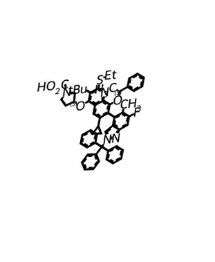 CCSc1nc2c(O[C@@H](C)c3ccccc3)c(-c3c(C)c(F)cc4nn(C(c5ccccc5)(c5ccccc5)c5ccccc5)cc34)c(C3CC3)cc2c(O[C@H]2CCN(C(=O)O)C2)c1C(C)(C)C